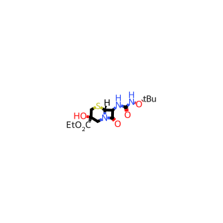 CCOC(=O)C1(O)CS[C@@H]2C(NC(=O)NOC(C)(C)C)C(=O)N2C1